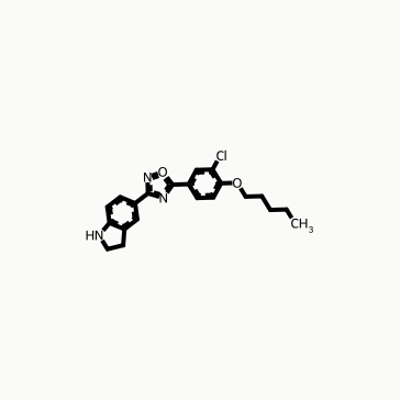 CCCCCOc1ccc(-c2nc(-c3ccc4c(c3)CCN4)no2)cc1Cl